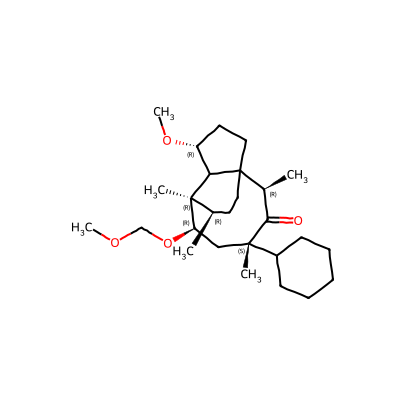 COCO[C@@H]1C[C@@](C)(C2CCCCC2)C(=O)[C@H](C)C23CC[C@@H](C)[C@]1(C)C2[C@H](OC)CC3